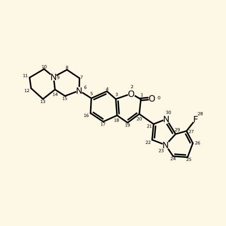 O=c1oc2cc(N3CCN4CCCCC4C3)ccc2cc1-c1cn2cccc(F)c2n1